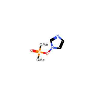 COP(=O)(OC)On1ccnc1